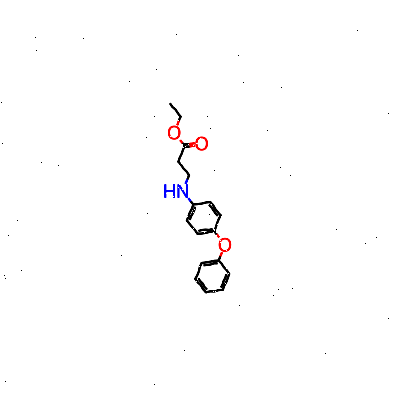 CCOC(=O)CCNc1ccc(Oc2ccccc2)cc1